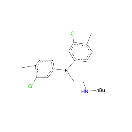 CCCCNCCB(c1ccc(C)c(Cl)c1)c1ccc(C)c(Cl)c1